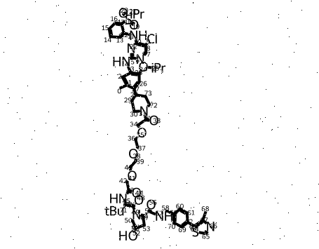 Cc1cc(Nc2ncc(Cl)c(Nc3ccccc3S(=O)(=O)C(C)C)n2)c(OC(C)C)cc1C1CCN(C(=O)COCCOCCOCC(=O)N[C@H](C(=O)N2C[C@H](O)C[C@H]2C(=O)NCc2ccc(-c3scnc3C)cc2)C(C)(C)C)CC1